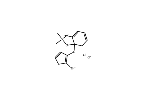 CC1=CC=CCC1(OC1=[C]([Ti+2])CC=C1)O[Si](C)(C)C.[Cl-].[Cl-]